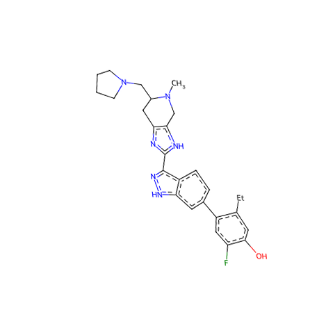 CCc1cc(O)c(F)cc1-c1ccc2c(-c3nc4c([nH]3)CN(C)C(CN3CCCC3)C4)n[nH]c2c1